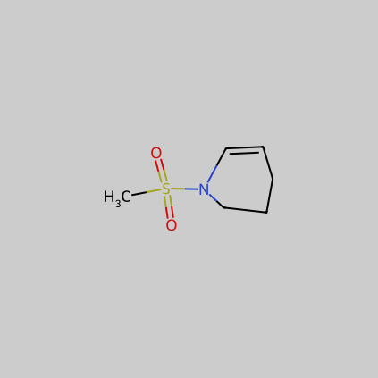 CS(=O)(=O)N1C=CCCC1